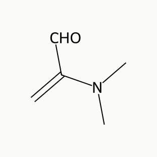 C=C(C=O)N(C)C